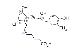 Cc1cc(C[C@@H](O)/C=C/[C@@H]2[C@@H](C/C=C\CCCC(=O)O)[C@H](Cl)C[C@H]2O)ccc1O